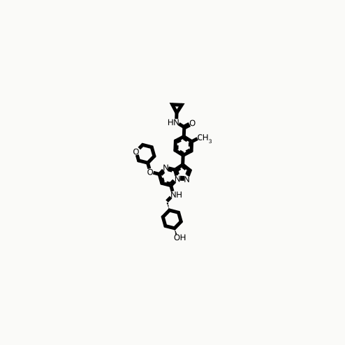 Cc1cc(-c2cnn3c(NC[C@H]4CC[C@@H](O)CC4)cc(OC4CCCOC4)nc23)ccc1C(=O)NC1CC1